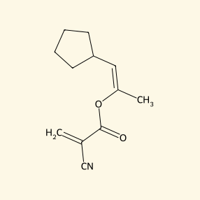 C=C(C#N)C(=O)OC(C)=CC1CCCC1